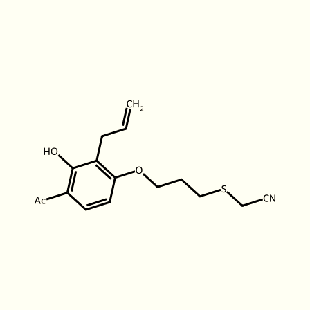 C=CCc1c(OCCCSCC#N)ccc(C(C)=O)c1O